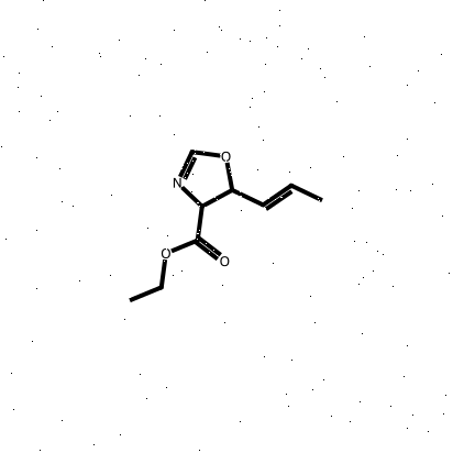 CC=CC1OC=NC1C(=O)OCC